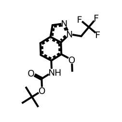 COc1c(NC(=O)OC(C)(C)C)ccc2cnn(CC(F)(F)F)c12